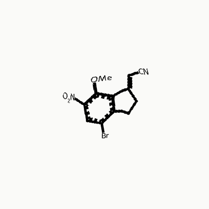 COc1c([N+](=O)[O-])cc(Br)c2c1/C(=C/C#N)CC2